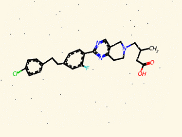 CC(CC(=O)O)CN1CCc2nc(-c3ccc(CCc4ccc(Cl)cc4)cc3F)ncc2C1